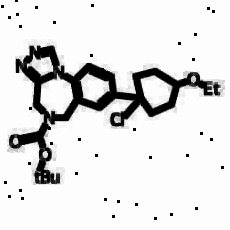 CCOC1CCC(Cl)(c2ccc3c(c2)CN(C(=O)OC(C)(C)C)Cc2nncn2-3)CC1